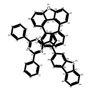 c1ccc(-c2nc(-c3ccccc3)nc(-c3cccc(-c4cccc5oc6cccc(-c7ccc(-c8ccc9c(c8)sc8ccccc89)cc7)c6c45)c3)n2)cc1